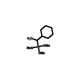 CO[Si](OC)(OC)C(C)C1CCCCC1